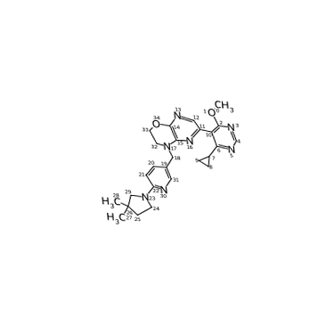 COc1ncnc(C2CC2)c1-c1cnc2c(n1)N(Cc1ccc(N3CCC(C)(C)C3)nc1)CCO2